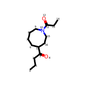 CCCC(=O)C1CCCCN(C(=O)CC)CC1